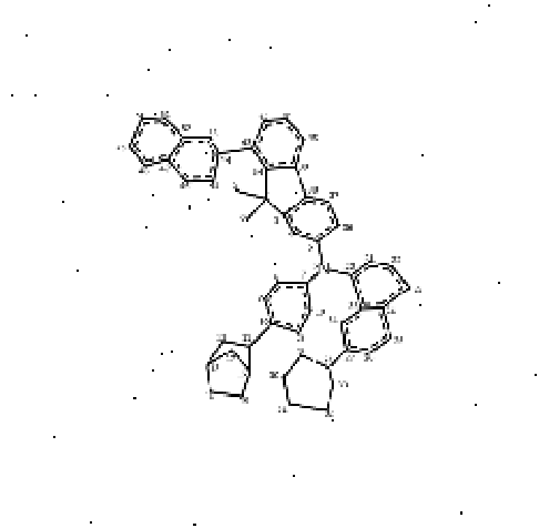 CC1(C)c2cc(N(c3ccc(C4CC5CCC4C5)cc3)c3cccc4ccc(C5CCCCC5)cc34)ccc2-c2cccc(-c3ccc4ccccc4c3)c21